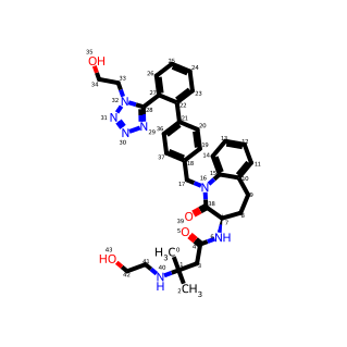 CC(C)(CC(=O)N[C@@H]1CCc2ccccc2N(Cc2ccc(-c3ccccc3-c3nnnn3CCO)cc2)C1=O)NCCO